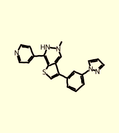 CN1C=c2c(-c3cccc(-n4cccn4)c3)csc2=C(c2ccncc2)N1